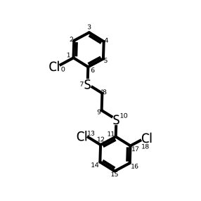 Clc1ccccc1S[CH]CSc1c(Cl)cccc1Cl